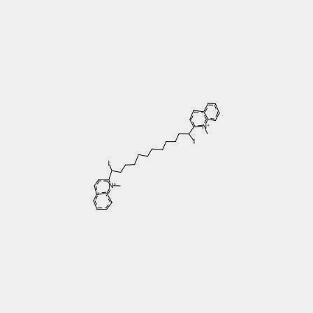 C[n+]1c(C(I)CCCCCCCCCCC(I)c2ccc3ccccc3[n+]2C)ccc2ccccc21